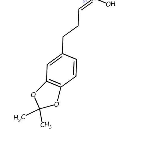 CC1(C)Oc2ccc(CC/C=N\O)cc2O1